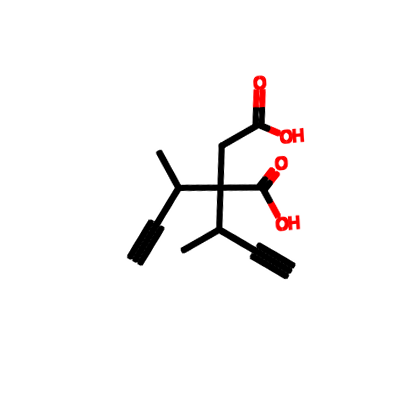 C#CC(C)C(CC(=O)O)(C(=O)O)C(C)C#C